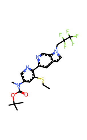 CCSc1cc(N(C)C(=O)OC(C)(C)C)cnc1-c1cc2ccn(CC(F)(F)C(F)(F)F)c2cn1